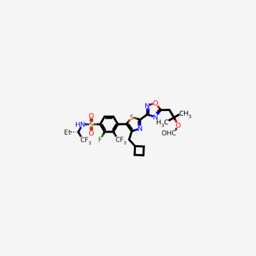 CC[C@H](NS(=O)(=O)c1ccc(-c2sc(-c3noc(CC(C)(C)OC=O)n3)nc2CC2CCC2)c(C(F)(F)F)c1F)C(F)(F)F